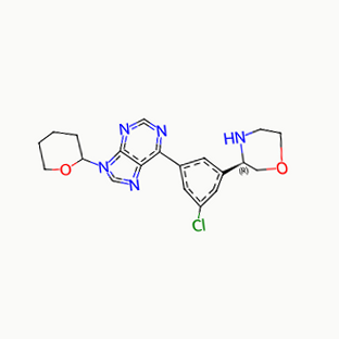 Clc1cc(-c2ncnc3c2ncn3C2CCCCO2)cc([C@@H]2COCCN2)c1